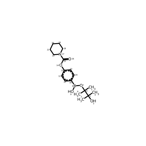 CC(C)(O)C(C)(C)OB(O)c1ccc(OC(=O)N2CCCCC2)cc1